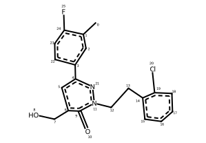 Cc1cc(-c2cc(CO)c(=O)n(CCc3ccccc3Cl)n2)ccc1F